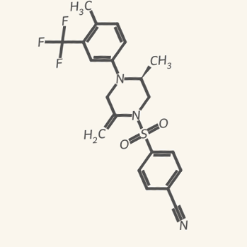 C=C1CN(c2ccc(C)c(C(F)(F)F)c2)[C@@H](C)CN1S(=O)(=O)c1ccc(C#N)cc1